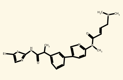 CCc1cnc(NC(=O)C(C)c2cccc(-c3ccc(N(C)C(=O)/C=C/CN(C)C)nc3)c2)s1